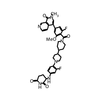 COc1cc(-c2cn(C)c(=O)c3cnccc23)cc(F)c1C(=O)N1CCC(C2CCN(c3ccc(NC4CCC(=O)NC4=O)cc3F)CC2)CC1